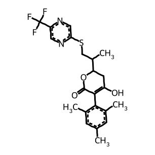 Cc1cc(C)c(C2=C(O)CC(C(C)CSc3cnc(C(F)(F)F)cn3)OC2=O)c(C)c1